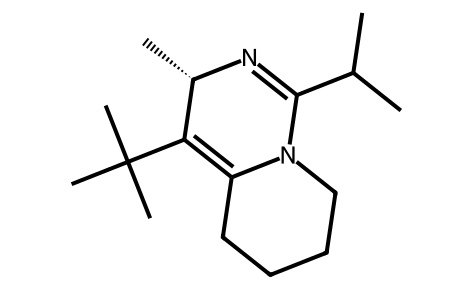 CC(C)C1=N[C@@H](C)C(C(C)(C)C)=C2CCCCN12